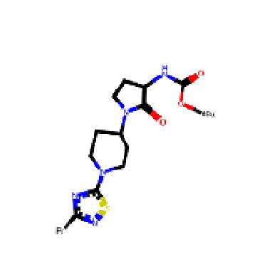 CC(C)c1nsc(N2CCC(N3CCC(NC(=O)OC(C)(C)C)C3=O)CC2)n1